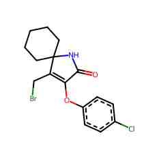 O=C1NC2(CCCCC2)C(CBr)=C1Oc1ccc(Cl)cc1